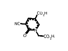 N#Cc1cc(C(=O)O)cn(CC(=O)O)c1=O